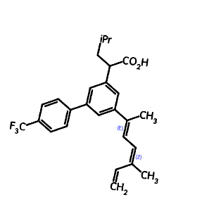 C=C/C(C)=C\C=C(/C)c1cc(-c2ccc(C(F)(F)F)cc2)cc(C(CC(C)C)C(=O)O)c1